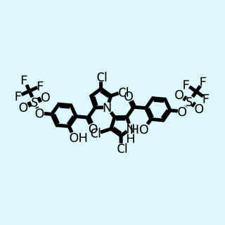 O=C(c1ccc(OS(=O)(=O)C(F)(F)F)cc1O)c1[nH]c(Cl)c(Cl)c1-n1c(C(=O)c2ccc(OS(=O)(=O)C(F)(F)F)cc2O)cc(Cl)c1Cl